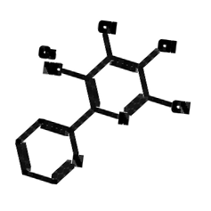 N#Cc1nc(-c2ccccn2)c(C#N)c(C#N)c1C#N.[Os]